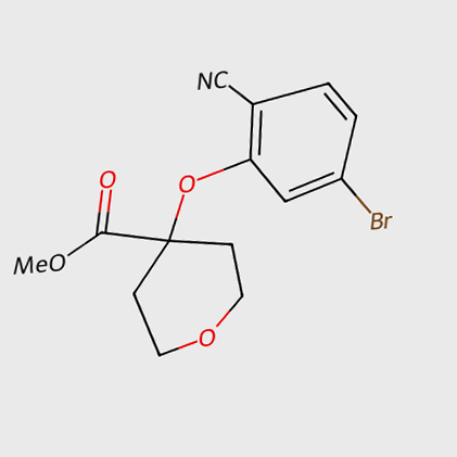 COC(=O)C1(Oc2cc(Br)ccc2C#N)CCOCC1